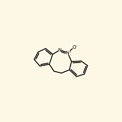 [O-]/[N+]1=N/c2ccccc2CCc2ccccc21